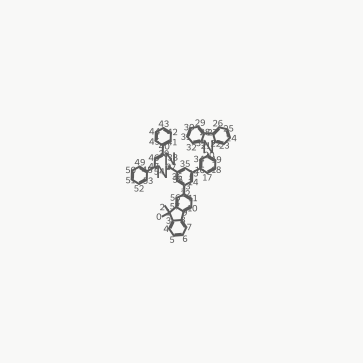 CC1(C)c2ccccc2-c2ccc(-c3cc(-c4cccc(-n5c6ccccc6c6ccccc65)c4)cc(-c4nc(-c5ccccc5)cc(-c5ccccc5)n4)c3)cc21